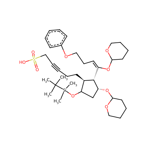 CC(C)(C)[Si](C)(C)OC1C[C@@H](OC2CCCCO2)[C@@H](/C(=C\CCOc2ccccc2)OC2CCCCO2)[C@@H]1CCC#CCS(=O)(=O)O